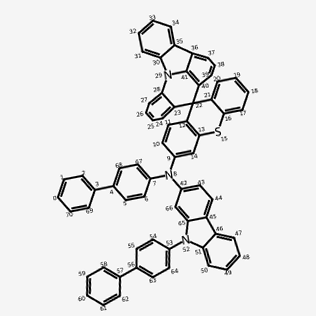 c1ccc(-c2ccc(N(c3ccc4c(c3)Sc3ccccc3C43c4ccccc4-n4c5ccccc5c5cccc3c54)c3ccc4c5ccccc5n(-c5ccc(-c6ccccc6)cc5)c4c3)cc2)cc1